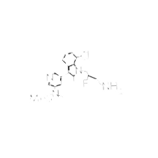 CSN(C)c1cncc(-c2c(C)n(C/C(F)=C/CN)c3c(Cl)cccc23)c1